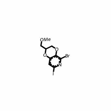 COCC1COc2c(cc(I)nc2Br)O1